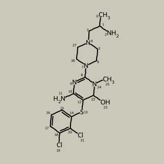 CC(N)CN1CCN(C2=NC(N)=C(Sc3cccc(Cl)c3Cl)C(O)N2C)CC1